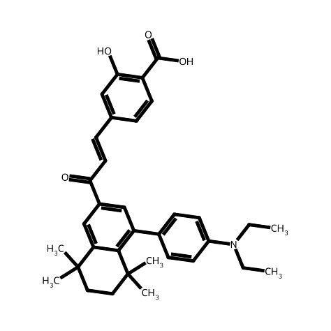 CCN(CC)c1ccc(-c2cc(C(=O)/C=C/c3ccc(C(=O)O)c(O)c3)cc3c2C(C)(C)CCC3(C)C)cc1